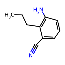 CCCc1c(N)cccc1C#N